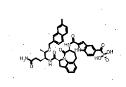 Cc1ccc2ccc(CO[C@H](C)[C@H](CCC(N)=O)NC(=O)[C@@H]3Cc4cccc5c4N3C(=O)[C@@H](NC(=O)c3cc4cc(C(=O)P(=O)(O)O)ccc4[nH]3)CC5)cc2c1